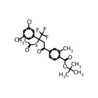 CC(=O)SC(CC(=O)c1ccc(C(=O)OC(C)(C)C)c(C)c1)(c1cc(Cl)cc(Cl)c1)C(F)(F)F